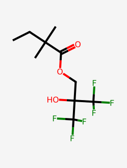 CCC(C)(C)C(=O)OCC(O)(C(F)(F)F)C(F)(F)F